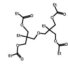 CCC(=O)OCC(CC)(COCC(CC)(COC(=O)CC)COC(=O)CC)COC(=O)CC